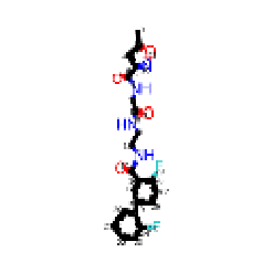 Cc1cc(C(=O)NCC(=O)NCCNC(=O)c2cc(-c3ccccc3F)ccc2F)no1